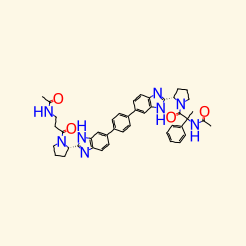 CC(=O)NCCC(=O)N1CCC[C@H]1c1nc2ccc(-c3ccc(-c4ccc5nc([C@@H]6CCCN6C(=O)C(C)(NC(C)=O)c6ccccc6)[nH]c5c4)cc3)cc2[nH]1